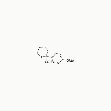 CCOC(=O)C1(c2ccc(OC)cc2)CCCCO1